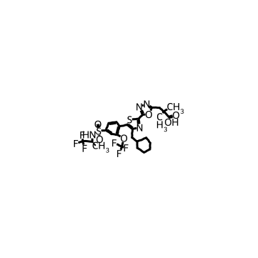 C[C@H](NS(=O)(=O)c1ccc(-c2sc(-c3nnc(CC(C)(C)C(=O)O)o3)nc2CC2CCCCC2)c(OC(F)(F)F)c1)C(F)(F)F